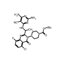 CC(Nc1nc(N)nc(N)c1C#N)c1nc2c(F)ccc(Cl)c2c(=O)n1N1CCN(C(=O)OC(C)(C)C)CC1